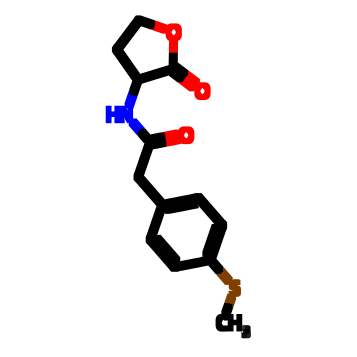 CSc1ccc(CC(=O)NC2CCOC2=O)cc1